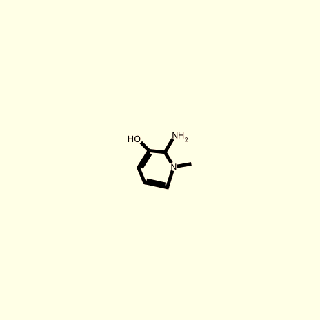 CN1C=CC=C(O)C1N